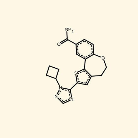 NC(=O)c1ccc2c(c1)-c1sc(-c3ncnn3C3CCC3)cc1CCO2